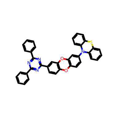 c1ccc(-c2nc(-c3ccccc3)nc(-c3ccc4c(c3)Oc3cc(N5c6ccccc6Sc6ccccc65)ccc3O4)n2)cc1